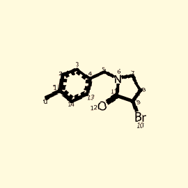 Cc1ccc(CN2CCC(Br)C2=O)cc1